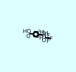 [2H]N(C(=O)C(F)(F)F)C([2H])([2H])c1ccc(C(=O)O)cc1